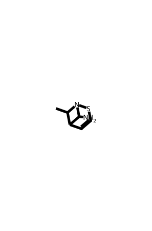 CC1C2C=CSN1C2N